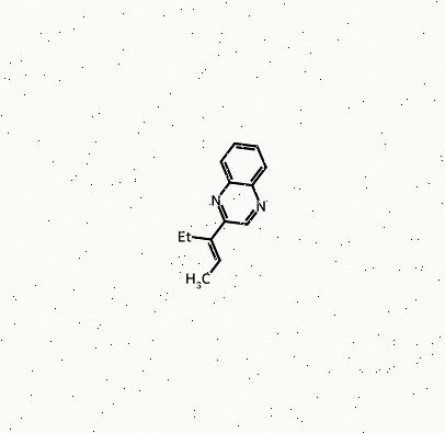 C/C=C(\CC)c1cnc2ccccc2n1